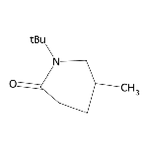 CC1CCC(=O)N(C(C)(C)C)C1